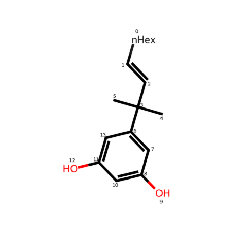 CCCCCC/C=C/C(C)(C)c1cc(O)cc(O)c1